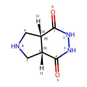 O=C1NNC(=O)[C@@H]2CNC[C@H]12